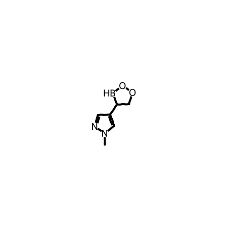 Cn1cc(C2BOOC2)cn1